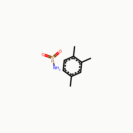 Cc1ccc(C)c(C)c1.N[SH](=O)=O